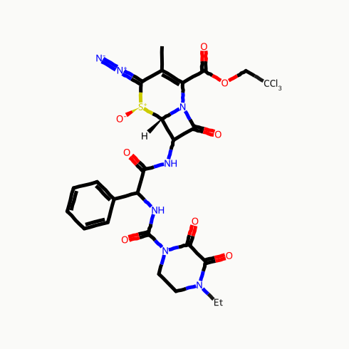 CCN1CCN(C(=O)NC(C(=O)NC2C(=O)N3C(C(=O)OCC(Cl)(Cl)Cl)=C(C)C(=[N+]=[N-])[S@+]([O-])[C@@H]23)c2ccccc2)C(=O)C1=O